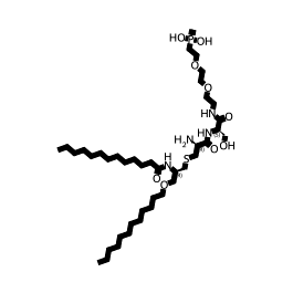 C=P(O)(O)CCOCCOCCNC(=O)[C@H](CO)NC(=O)[C@@H](N)CSC[C@@H](COCCCCCCCCCCCC)NC(=O)CCCCCCCCCCCC